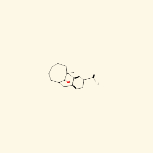 C[C@@]12CCCCCC(CC3=CCC(C(N)=O)C=C31)[C@@H]2N